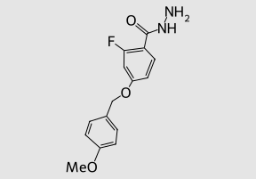 COc1ccc(COc2ccc(C(=O)NN)c(F)c2)cc1